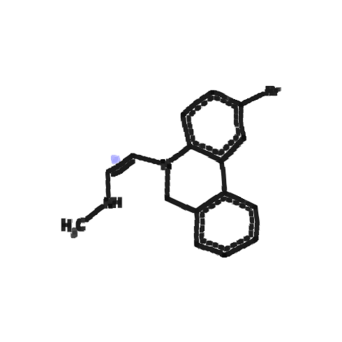 CN/C=C\N1Cc2ccccc2-c2cc(Br)ccc21